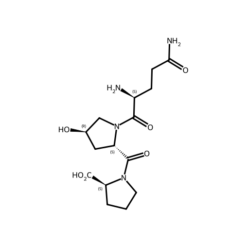 NC(=O)CC[C@H](N)C(=O)N1C[C@H](O)C[C@H]1C(=O)N1CCC[C@H]1C(=O)O